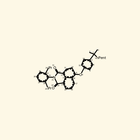 CCCCCC(C)(C)c1ccc(Oc2ccc3c4c(cccc24)C(=O)N(c2c(C(C)C)cccc2C(C)C)C3=O)cc1